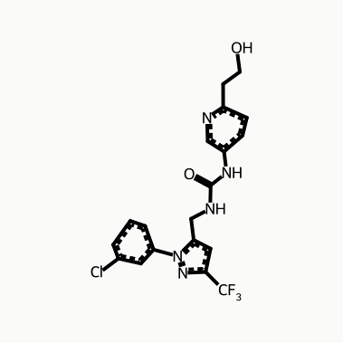 O=C(NCc1cc(C(F)(F)F)nn1-c1cccc(Cl)c1)Nc1ccc(CCO)nc1